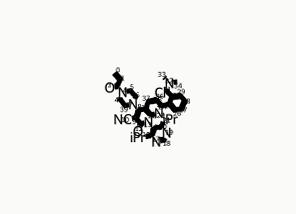 C=CC(=O)N1CCN(c2c(C#N)c(=O)n(-c3c(C(C)C)ncnc3C(C)C)c3nc(-c4ccccc4CN(C)C)c(Cl)cc23)CC1